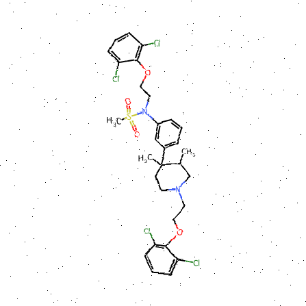 CC1CN(CCOc2c(Cl)cccc2Cl)CCC1(C)c1cccc(N(CCOc2c(Cl)cccc2Cl)S(C)(=O)=O)c1